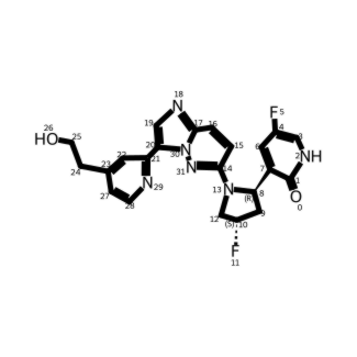 O=c1[nH]cc(F)cc1[C@H]1C[C@H](F)CN1c1ccc2ncc(-c3cc(CCO)ccn3)n2n1